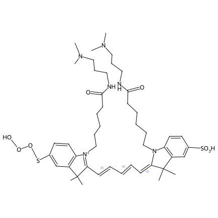 CN(C)CCCNC(=O)CCCCCN1\C(=C/C=C/C=C/C2=[N+](CCCCCC(=O)NCCCN(C)C)c3ccc(SOOO)cc3C2(C)C)C(C)(C)c2cc(S(=O)(=O)O)ccc21